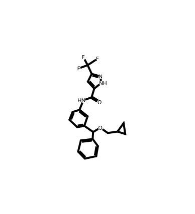 O=C(Nc1cccc(C(OCC2CC2)c2ccccc2)c1)c1cc(C(F)(F)F)n[nH]1